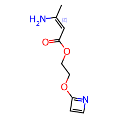 C/C(N)=C/C(=O)OCCOC1=NC=C1